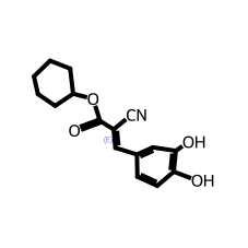 N#C/C(=C\c1ccc(O)c(O)c1)C(=O)OC1CCCCC1